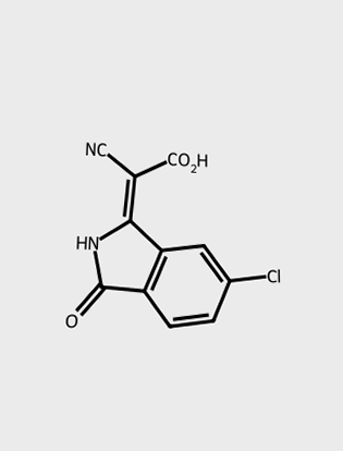 N#CC(C(=O)O)=C1NC(=O)c2ccc(Cl)cc21